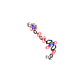 CCC(C)(C)c1ccc(Oc2ccc(N3C(=O)c4ccc(C(=O)Oc5ccc(OC(=O)c6ccc7c(c6)C(=O)N(C(C)(CC)CC)C7=O)cc5)cc4C3=O)cc2)cc1